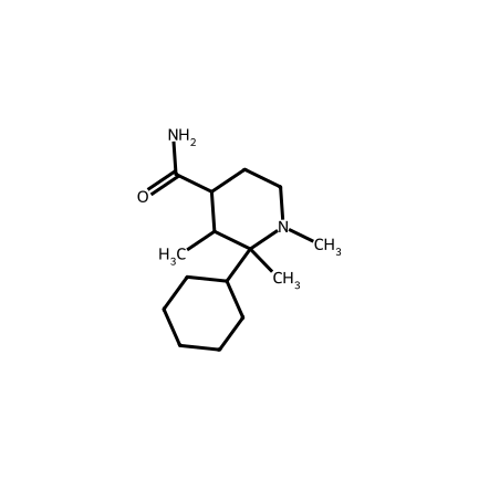 CC1C(C(N)=O)CCN(C)C1(C)C1CCCCC1